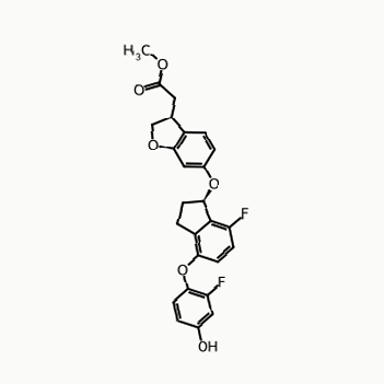 COC(=O)CC1COc2cc(O[C@@H]3CCc4c(Oc5ccc(O)cc5F)ccc(F)c43)ccc21